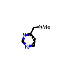 CNCc1ccncn1